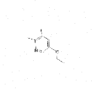 CCOc1cnc(C)c(C)c1